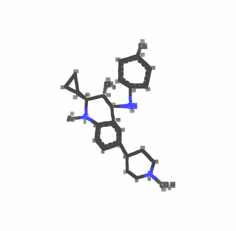 CC(=O)N1c2ccc(C3CCN(C(=O)O)CC3)cc2[C@H](Nc2ccc(C#N)cc2)[C@@H](C)[C@@H]1C1CC1